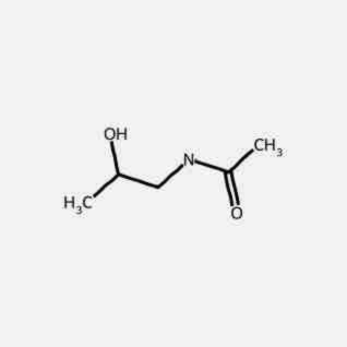 CC(=O)[N]CC(C)O